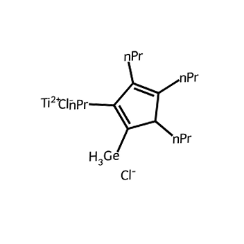 CCCC1=[C]([GeH3])C(CCC)C(CCC)=C1CCC.[Cl-].[Cl-].[Ti+2]